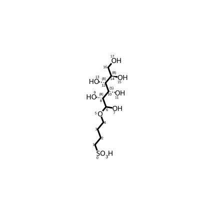 O=S(=O)(O)CCCCOC(O)[C@H](O)[C@@H](O)[C@H](O)[C@H](O)CO